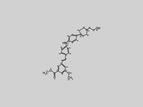 COC(=O)c1cc(C=Cc2cnc(Nc3ccc(N4CCN(CCO)CC4)cc3)nc2)cc(OC)c1